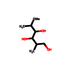 COC(C)C(O)C(O)C(C)CO